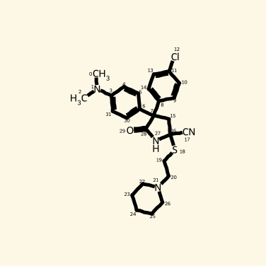 CN(C)c1ccc(C2(c3ccc(Cl)cc3)CC(C#N)(SCCN3CCCCC3)NC2=O)cc1